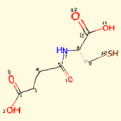 O=C(O)CCC(=O)N[C@@H](CS)C(=O)O